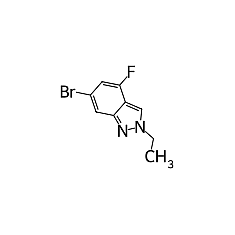 CCn1cc2c(F)cc(Br)cc2n1